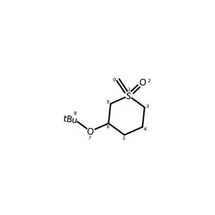 C=S1(=O)CCCC(OC(C)(C)C)C1